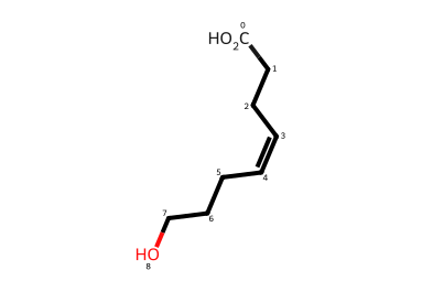 O=C(O)CC/C=C\CCCO